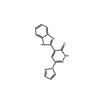 O=c1[nH]nc(-n2cccn2)cc1-c1nc2ccccc2[nH]1